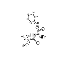 CC(C)C[C@H](N)C(=O)N[C@H](C(=O)OCc1ccccc1)C(C)C